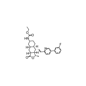 CCOC(=O)NC1CC[C@@H]2[C@@H](C1)C[C@H]1C(=O)O[C@H](C)[C@H]1[C@H]2/C=C/c1ccc(-c2cccc(F)c2)cn1